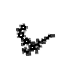 O=C(NCCOCCO)C1=Cc2c(ncnc2Nc2ccc(OC3CCN(C(=O)C4CCCC4)CC3)c(Cl)c2)NCC1.O=C(O)C(F)(F)F